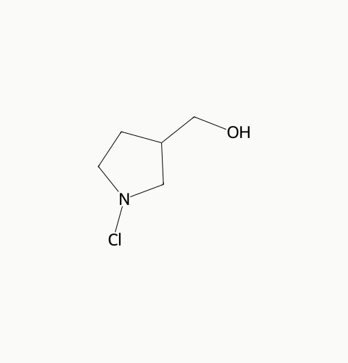 OCC1CCN(Cl)C1